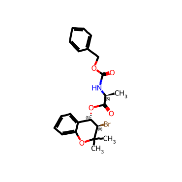 C[C@H](NC(=O)OCc1ccccc1)C(=O)O[C@H]1c2ccccc2OC(C)(C)[C@@H]1Br